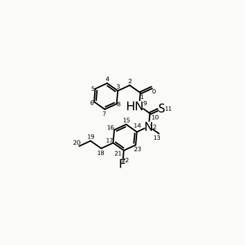 C=C(Cc1ccccc1)NC(=S)N(C)c1ccc(CCC)c(F)c1